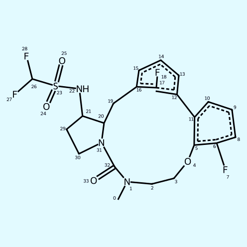 CN1CCOc2c(F)cccc2-c2cccc(c2F)CC2C(NS(=O)(=O)C(F)F)CCN2C1=O